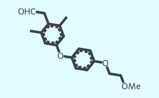 COCCOc1ccc(Oc2cc(C)c(CC=O)c(C)c2)cc1